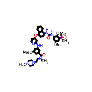 COc1cc(Nc2cc(Oc3ccc(NC(=O)Nc4cc(C(C)(C)C)cc(P(C)(C)=O)c4OC)c4ccccc34)ccn2)cc(C(=O)N(C)CCN2CCN(C)CC2)c1